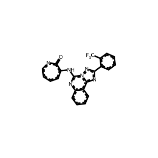 O=c1nccccc1Nc1nc2ccccc2c2nc(-c3ccccc3C(F)(F)F)nn12